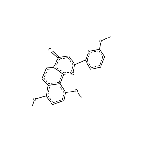 COc1cccc(-c2cc(=O)c3ccc4c(OC)ccc(OC)c4c3o2)n1